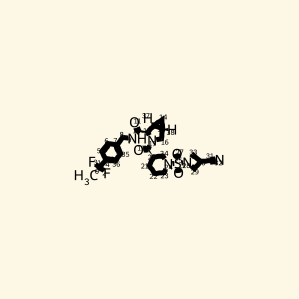 CC(F)(F)c1ccc(CNC(=O)[C@H]2[C@@H]3C[C@@H]3CN2C(=O)[C@H]2CCCN(S(=O)(=O)N3CC(C#N)C3)C2)cc1